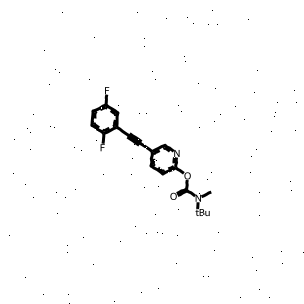 CN(C(=O)Oc1ccc(C#Cc2cc(F)ccc2F)cn1)C(C)(C)C